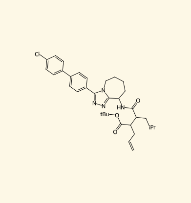 C=CCC(C(=O)OC(C)(C)C)C(CC(C)C)C(=O)NC1CCCCn2c(-c3ccc(-c4ccc(Cl)cc4)cc3)nnc21